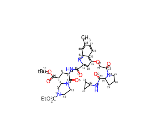 CCOC(=O)N1CCN(C(=O)C(CCC(=O)OC(C)(C)C)NC(=O)c2cc(OCC(=O)N3CCCC3C(=O)NC3CC3)c3ccc(C)cc3n2)CC1